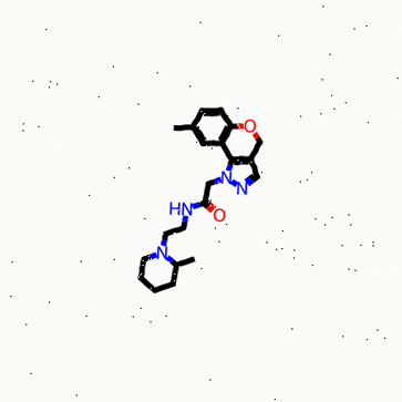 Cc1ccc2c(c1)-c1c(cnn1CC(=O)NCCN1CCCCC1C)CO2